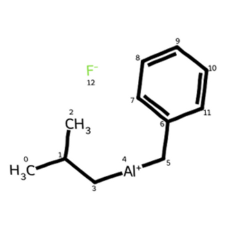 CC(C)[CH2][Al+][CH2]c1ccccc1.[F-]